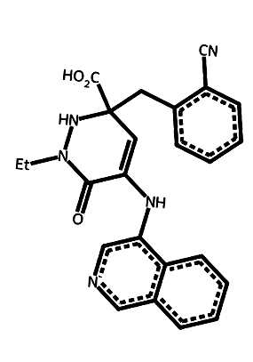 CCN1NC(Cc2ccccc2C#N)(C(=O)O)C=C(Nc2cncc3ccccc23)C1=O